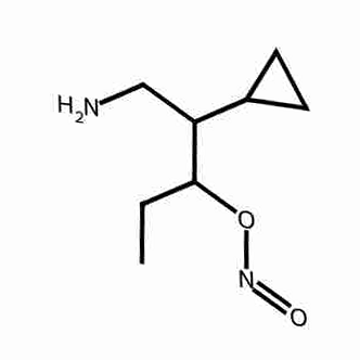 CCC(ON=O)C(CN)C1CC1